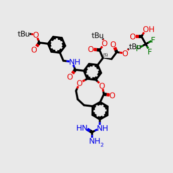 CC(C)(C)OC(=O)C[C@H](C(=O)OC(C)(C)C)c1cc2c(c(C(=O)NCc3cccc(C(=O)OC(C)(C)C)c3)c1)OCCCc1cc(NC(=N)N)ccc1C(=O)O2.O=C(O)C(F)(F)F